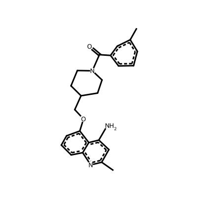 Cc1cccc(C(=O)N2CCC(COc3cccc4nc(C)cc(N)c34)CC2)c1